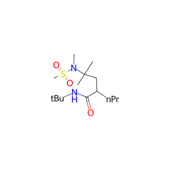 CCCC(CC(C)(C)N(C)S(C)(=O)=O)C(=O)NC(C)(C)C